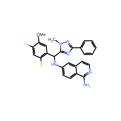 COc1cc(C(Nc2ccc3c(N)nccc3c2)c2nc(-c3ccccc3)nn2C)c(F)cc1F